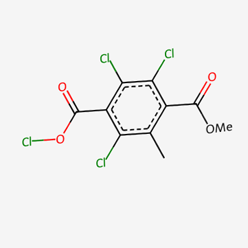 COC(=O)c1c(C)c(Cl)c(C(=O)OCl)c(Cl)c1Cl